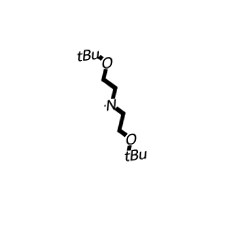 CC(C)(C)OCC[N]CCOC(C)(C)C